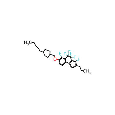 CCCCCC1CCC(COc2ccc3c(c2F)C(F)(F)C(F)(F)c2c-3ccc(CCC)c2F)CC1